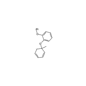 CC(C)Oc1ccccc1OC1(C)[CH]C=CC=C1